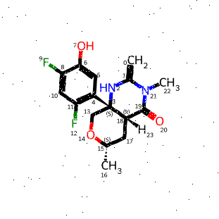 C=C1N[C@@]2(c3cc(O)c(F)cc3F)CO[C@@H](C)C[C@H]2C(=O)N1C